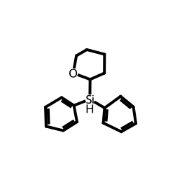 c1ccc([SiH](c2ccccc2)C2CCCCO2)cc1